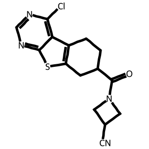 N#CC1CN(C(=O)C2CCc3c(sc4ncnc(Cl)c34)C2)C1